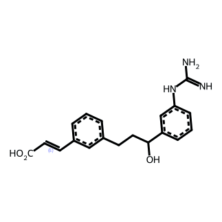 N=C(N)Nc1cccc(C(O)CCc2cccc(/C=C/C(=O)O)c2)c1